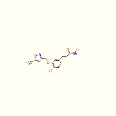 CCNC(=O)CCc1ccc(Cl)c(OCc2cc(C)on2)c1